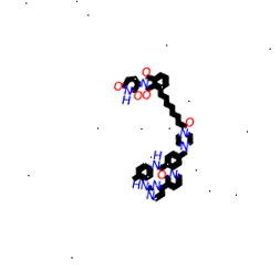 Cc1ccc(NC(=O)c2ccc(CN3CCN(C(=O)CCCCCCCc4cccc5c4C(=O)N(C4CCC(=O)NC4=O)C5=O)CC3)cc2)cc1Nc1nccc(-c2cccnc2)n1